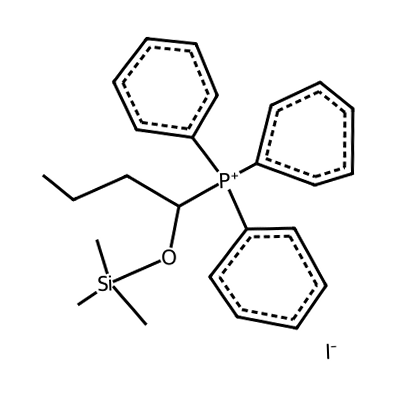 CCCC(O[Si](C)(C)C)[P+](c1ccccc1)(c1ccccc1)c1ccccc1.[I-]